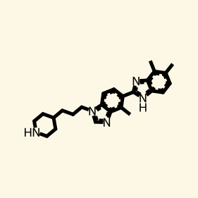 Cc1ccc2[nH]c(-c3ccc4c(ncn4CCCC4CCNCC4)c3C)nc2c1C